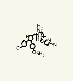 CN(/N=C(/N)NCc1cnc(-c2ccc(Cl)cc2)c(-c2ccc(Cl)cc2)c1)SOc1ccc(C#N)nc1.S